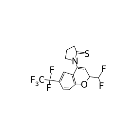 FC(F)C1C=C(N2CCCC2=S)c2cc(C(F)(F)C(F)(F)F)ccc2O1